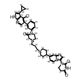 O=C1CCN(c2cnc3cc(C4CCN(CCCN5CCN(c6cccc(-c7cnc8[nH]cc(C9CC9)c8c7Cl)c6)C(=O)C5)CC4)ccn23)C(=O)N1